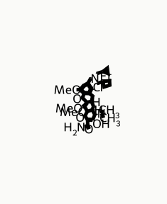 CCC1(CN(Cc2cc(OC)c3c(c2Cl)C[C@H]2C[C@H]4[C@H](N(C)C)C(O)=C(C(N)=O)C(=O)[C@@]4(OC)C(OC)=C2C3=O)CC2CC2)CCC1